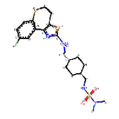 CN(C)S(=O)(=O)NC[C@H]1CC[C@H](CNc2nc3c(s2)CCSc2ccc(F)cc2-3)CC1